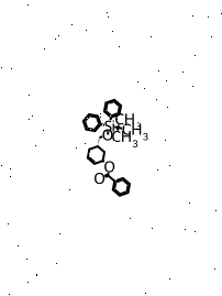 CC(C)(C)[Si](OC[C@H]1CC=C[C@H](OC(=O)c2ccccc2)C1)(c1ccccc1)c1ccccc1